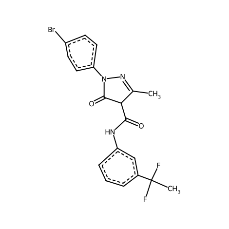 CC1=NN(c2ccc(Br)cc2)C(=O)C1C(=O)Nc1cccc(C(C)(F)F)c1